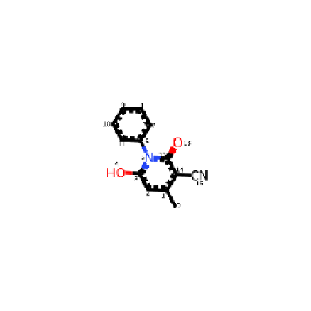 Cc1cc(O)n(-c2ccccc2)c(=O)c1C#N